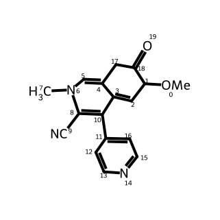 COC1C=C2C(=CN(C)C(C#N)=C2c2ccncc2)CC1=O